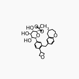 CS(=O)(=O)[C@@H]1O[C@@H](c2ccc(C3COC3)c(Cc3ccc4c(c3)CCCCO4)c2)[C@H](O)[C@@H](O)[C@@H]1O